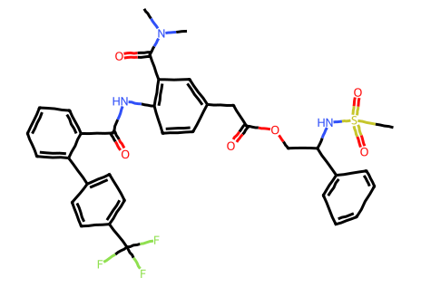 CN(C)C(=O)c1cc(CC(=O)OCC(NS(C)(=O)=O)c2ccccc2)ccc1NC(=O)c1ccccc1-c1ccc(C(F)(F)F)cc1